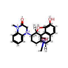 CN1C(=O)CN([C@@H]2CC[C@@]3(O)[C@H]4Cc5ccc(O)c6c5[C@@]3(CCN4C)[C@H]2O6)c2ccccc21